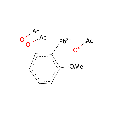 CC(=O)[O-].CC(=O)[O-].CC(=O)[O-].COc1cccc[c]1[Pb+3]